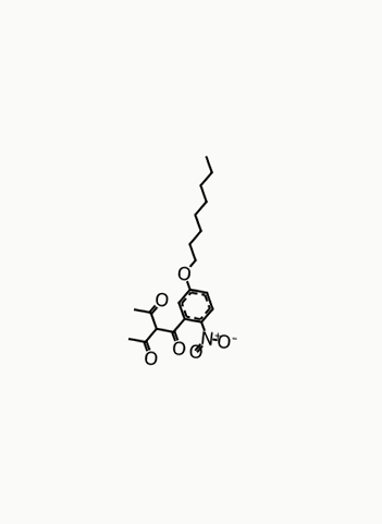 CCCCCCCCOc1ccc([N+](=O)[O-])c(C(=O)C(C(C)=O)C(C)=O)c1